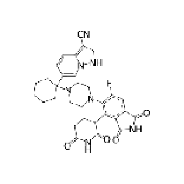 N#CC1=C2C=CC(C3(N4CCN(c5c(F)cc6c(c5C5CCC(=O)NC5=O)C(=O)NC6=O)CC4)CCCCC3)=CN2NC1